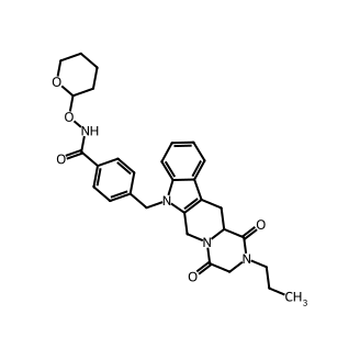 CCCN1CC(=O)N2Cc3c(c4ccccc4n3Cc3ccc(C(=O)NOC4CCCCO4)cc3)CC2C1=O